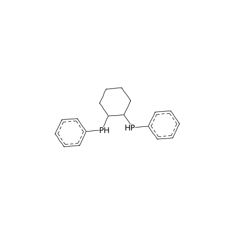 c1ccc(PC2CCCCC2Pc2ccccc2)cc1